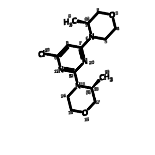 C[C@H]1COCCN1c1cc(Cl)nc(N2CCOC[C@@H]2C)n1